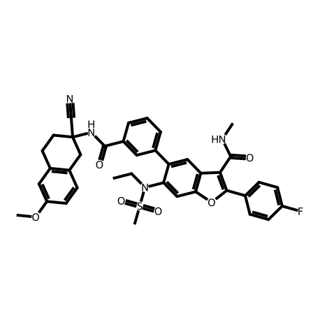 CCN(c1cc2oc(-c3ccc(F)cc3)c(C(=O)NC)c2cc1-c1cccc(C(=O)NC2(C#N)CCc3cc(OC)ccc3C2)c1)S(C)(=O)=O